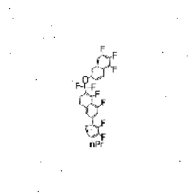 CCCc1ccc(-c2cc(F)c3c(F)c(C(F)(F)Oc4ccc5c(F)c(F)c(F)cc5c4)ccc3c2)c(F)c1F